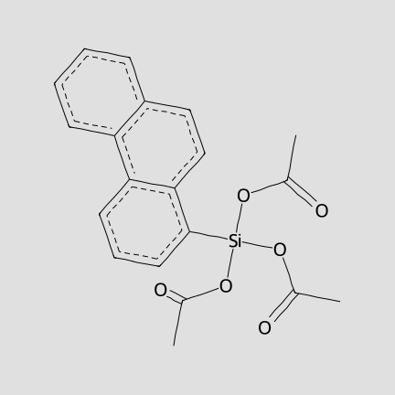 CC(=O)O[Si](OC(C)=O)(OC(C)=O)c1cccc2c1ccc1ccccc12